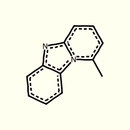 Cc1cccc2nc3ccccc3n12